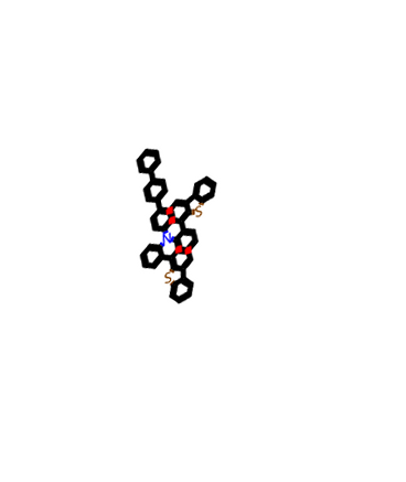 c1ccc(-c2ccc(-c3ccc(N(c4ccccc4-c4cccc5c4sc4ccccc45)c4ccccc4-c4cccc5c4sc4ccccc45)cc3)cc2)cc1